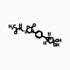 CC(=O)NC[C@H]1CN(c2ccc(C3[C@H]4CS(O)(O)C[C@@H]34)cc2)C(=O)O1